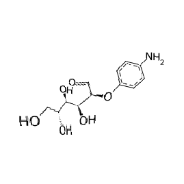 Nc1ccc(O[C@H](C=O)[C@@H](O)[C@H](O)[C@H](O)CO)cc1